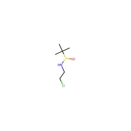 CC(C)(C)[S+]([O-])NCCCl